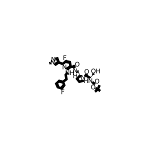 Cn1cc(-c2nc(NCCc3cccc(F)c3)c(C(=O)NC[C@H]3CCCN3C(=O)[C@H](CO)NC(=O)OC(C)(C)C)cc2F)cn1